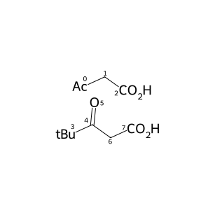 CC(=O)CC(=O)O.CC(C)(C)C(=O)CC(=O)O